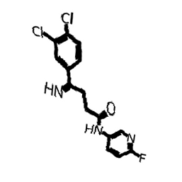 N=C(CCC(=O)Nc1ccc(F)nc1)c1ccc(Cl)c(Cl)c1